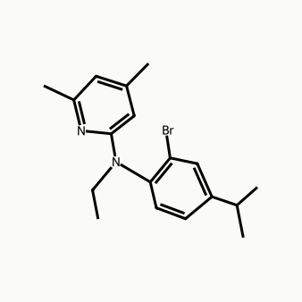 CCN(c1cc(C)cc(C)n1)c1ccc(C(C)C)cc1Br